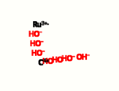 [C+4].[OH-].[OH-].[OH-].[OH-].[OH-].[OH-].[OH-].[Ru+3]